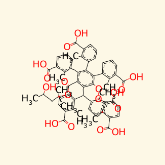 Cc1c(OOc2c(-c3cccc(C(=O)O)c3C)c(-c3cccc(C(=O)O)c3C)c(-c3cccc(C(=O)O)c3C)c(C(=O)OC(C)(C)CC(C)O)c2C(c2cccc(C(=O)O)c2C)c2cccc(C(=O)O)c2C)cccc1C(=O)O